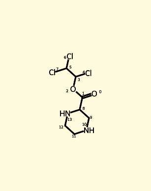 O=C(OC(Cl)C(Cl)Cl)C1CNCCN1